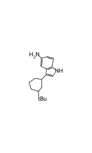 CC(C)(C)[C]1CCCC(c2c[nH]c3ccc(N)cc23)C1